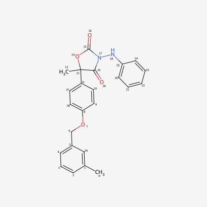 Cc1cccc(COc2ccc(C3(C)OC(=O)N(Nc4ccccc4)C3=O)cc2)c1